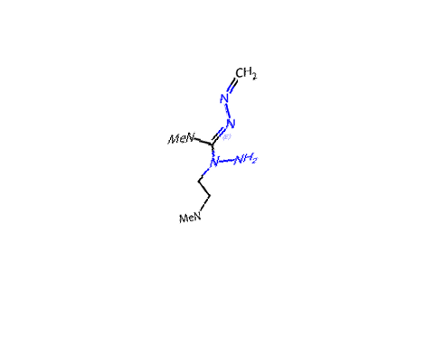 C=N/N=C(\NC)N(N)CCNC